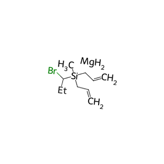 C=CC[Si](C)(CC=C)C(Br)CC.[MgH2]